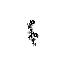 CN(C)CCCNc1nccc(-c2[nH]c(C3OCC(C)(C(=O)Nc4cccnc4)CO3)nc2-c2ccc(F)cc2)n1